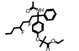 CCCC(F)CC(F)CC(NC(C)=O)(c1ccccc1)c1ccc(OC(C)(C)C(=O)OCC)cc1